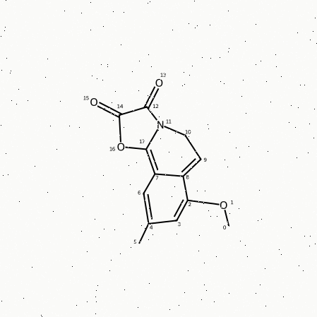 COc1cc(C)cc2c1=CCN1C(=O)C(=O)OC=21